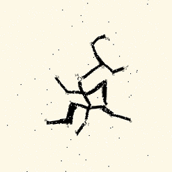 CC=CC(C=CC)(SC)C(CC)(CC)OC(CC)CC